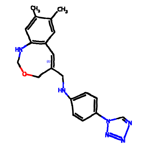 Cc1cc2c(cc1C)NCOC/C(CNc1ccc(-n3cnnn3)cc1)=C\2